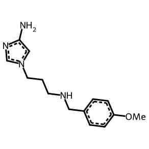 COc1ccc(CNCCCn2cnc(N)c2)cc1